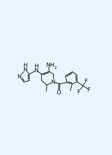 Cc1c(C(=O)N2CC(N)=C(Nc3ccn[nH]3)CC2C)cccc1C(F)(F)F